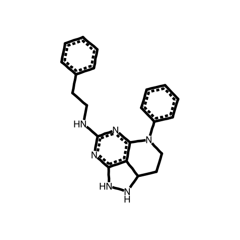 c1ccc(CCNc2nc3c4c(n2)N(c2ccccc2)CCC4NN3)cc1